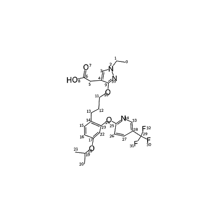 CCn1cc(CC(=O)O)c(OCCCc2ccc(OC(C)C)cc2Oc2ccc(C(F)(F)F)cn2)n1